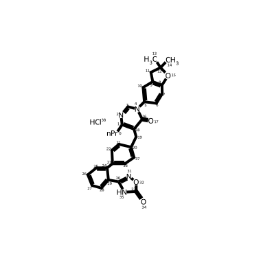 CCCc1ncn(-c2ccc3c(c2)CC(C)(C)O3)c(=O)c1Cc1ccc(-c2ccccc2-c2noc(=O)[nH]2)cc1.Cl